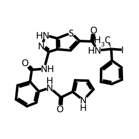 C[C@@](I)(NC(=O)c1cc2c(NC(=O)c3ccccc3NC(=O)c3ccc[nH]3)n[nH]c2s1)c1ccccc1